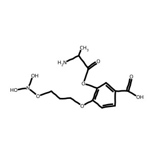 CC(N)C(=O)Oc1cc(C(=O)O)ccc1OCCCON(O)O